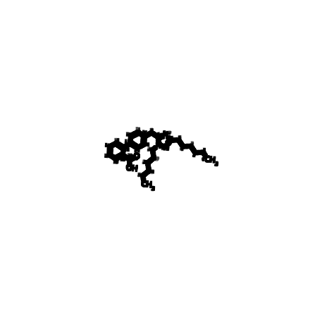 CCCCCCc1nc(Cc2ccc(-c3ccccc3C(=O)O)cc2)n(CCCCCC)n1